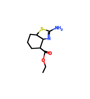 CCOC(=O)C1CCCC2SC(N)=NC21